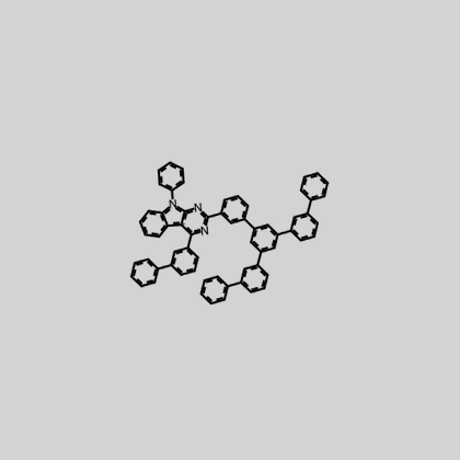 c1ccc(-c2cccc(-c3cc(-c4cccc(-c5ccccc5)c4)cc(-c4cccc(-c5nc(-c6cccc(-c7ccccc7)c6)c6c7ccccc7n(-c7ccccc7)c6n5)c4)c3)c2)cc1